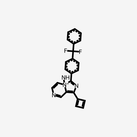 N[N+]12C=CN=CC1=C(C1=CC=C1)N=C2c1ccc(C(F)(F)c2ccccc2)cc1